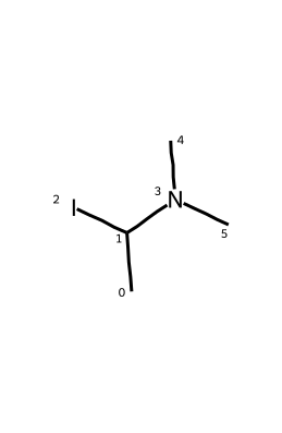 CC(I)N(C)C